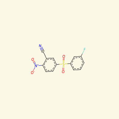 N#Cc1cc(S(=O)(=O)c2cccc(F)c2)ccc1[N+](=O)[O-]